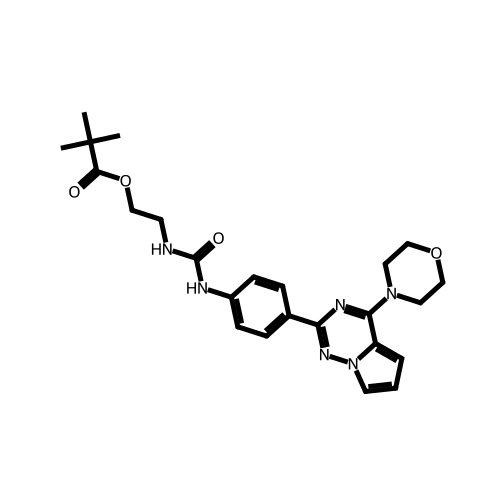 CC(C)(C)C(=O)OCCNC(=O)Nc1ccc(-c2nc(N3CCOCC3)c3cccn3n2)cc1